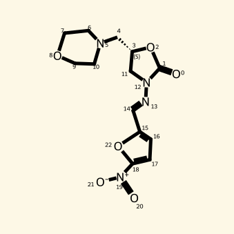 O=C1O[C@@H](CN2CCOCC2)CN1N=Cc1ccc([N+](=O)[O-])o1